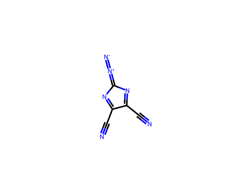 N#CC1=NC(=[N+]=[N-])N=C1C#N